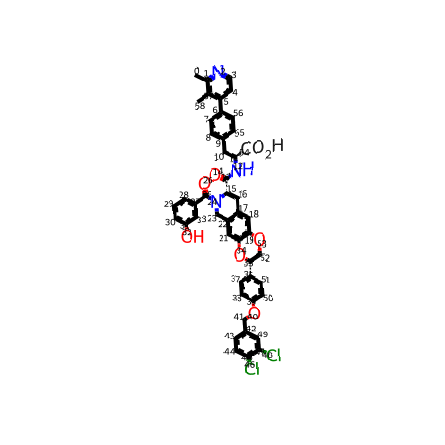 Cc1nccc(-c2ccc(C[C@H](NC(=O)[C@@H]3Cc4cc5c(cc4CN3C(=O)c3cccc(O)c3)O[C@@H](c3ccc(OCc4ccc(Cl)c(Cl)c4)cc3)CO5)C(=O)O)cc2)c1C